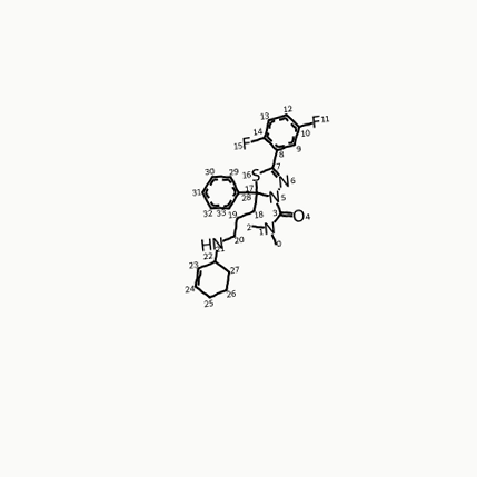 CN(C)C(=O)N1N=C(c2cc(F)ccc2F)SC1(CCCNC1C=CCCC1)c1ccccc1